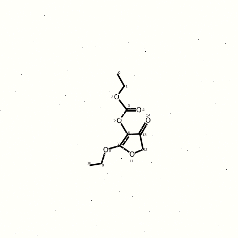 CCOC(=O)OC1=C(OCC)OCC1=O